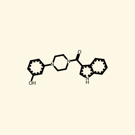 O=C(c1c[nH]c2ccccc12)N1CCN(c2cccc(O)c2)CC1